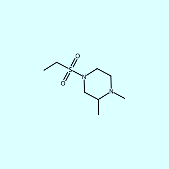 CCS(=O)(=O)N1CCN(C)C(C)C1